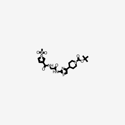 CC(C)(C)OC(=O)N1CCC(c2csc(NC(=O)CNC(=O)c3ccn(S(C)(=O)=O)c3)n2)CC1